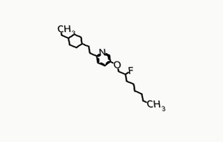 CCCCCCC(F)COc1ccc(CCC2CCC(CC)CC2)nc1